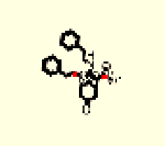 COC1(OC)C2CC(=O)CC1N(CCc1ccccc1)C(NCCc1ccccc1)=C2[N+](=O)[O-]